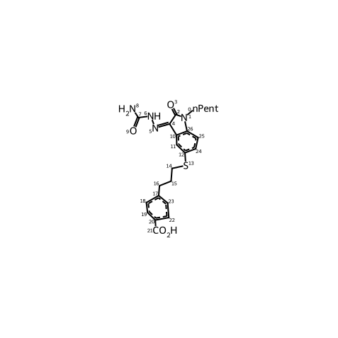 CCCCCN1C(=O)C(=NNC(N)=O)c2cc(SCCCc3ccc(C(=O)O)cc3)ccc21